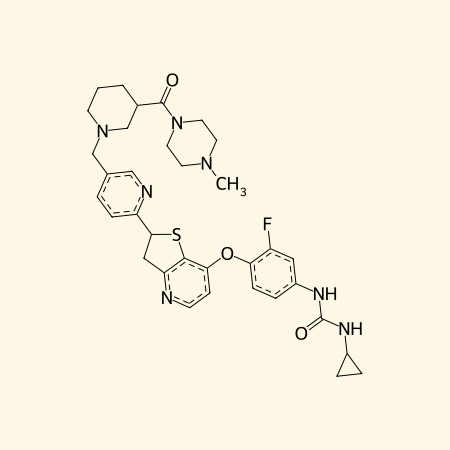 CN1CCN(C(=O)C2CCCN(Cc3ccc(C4Cc5nccc(Oc6ccc(NC(=O)NC7CC7)cc6F)c5S4)nc3)C2)CC1